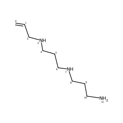 C=CCNCCCNCCCN